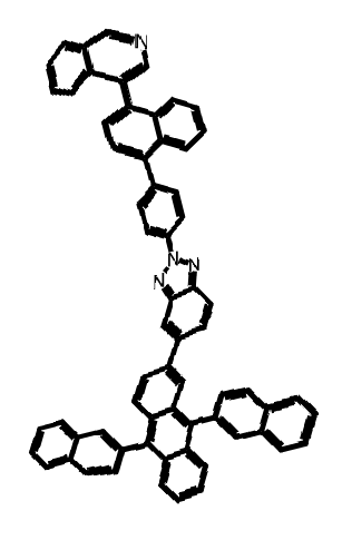 c1ccc2cc(-c3c4ccccc4c(-c4ccc5ccccc5c4)c4cc(-c5ccc6nn(-c7ccc(-c8ccc(-c9cncc%10ccccc9%10)c9ccccc89)cc7)nc6c5)ccc34)ccc2c1